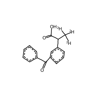 [2H]C([2H])([2H])C(C(=O)O)c1cccc(C(=O)c2ccccc2)c1